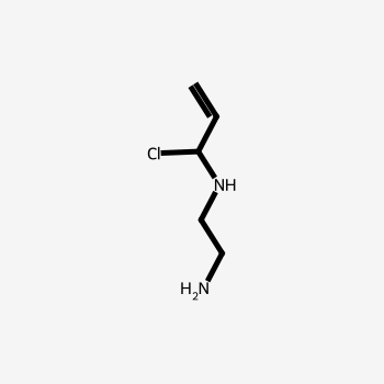 C=CC(Cl)NCCN